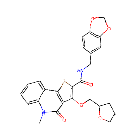 Cn1c(=O)c2c(OCC3CCCO3)c(C(=O)NCc3ccc4c(c3)OCO4)sc2c2ccccc21